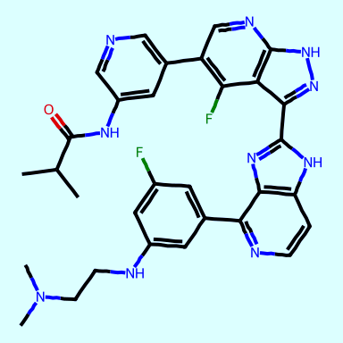 CC(C)C(=O)Nc1cncc(-c2cnc3[nH]nc(-c4nc5c(-c6cc(F)cc(NCCN(C)C)c6)nccc5[nH]4)c3c2F)c1